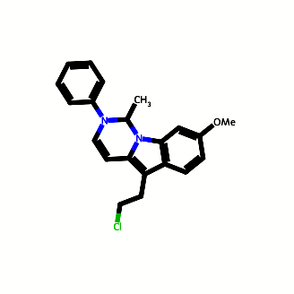 COc1ccc2c(CCCl)c3n(c2c1)C(C)N(c1ccccc1)C=C3